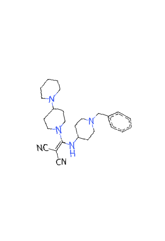 N#CC(C#N)=C(NC1CCN(Cc2ccccc2)CC1)N1CCC(N2CCCCC2)CC1